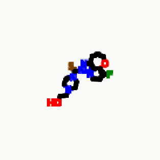 OCCN1CCN(C(=S)N/N=C2/CCCOc3c(F)ccnc32)CC1